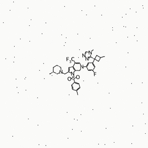 Cc1ccc(S(=O)(=O)n2c(CN3CCC[C@H](C)C3)cc3c2CN(c2cc(F)cc(C4(c5nncn5C)CC(C)C4)c2)C=C3C(F)(F)F)cc1